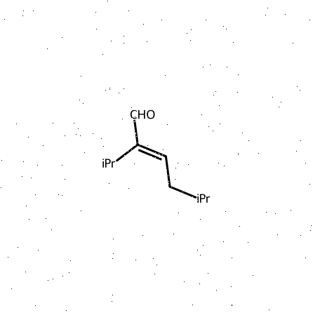 CC(C)CC=C(C=O)C(C)C